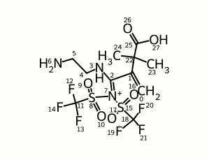 C=C(C(NCCN)=[N+](S(=O)(=O)C(F)(F)F)S(=O)(=O)C(F)(F)F)C(C)(C)C(=O)O